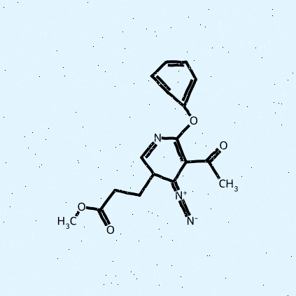 COC(=O)CCC1C=NC(Oc2ccccc2)=C(C(C)=O)C1=[N+]=[N-]